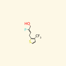 OCC(F)=CCc1sccc1C(F)(F)F